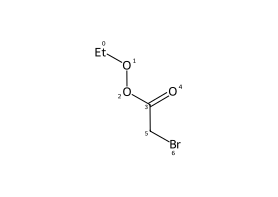 CCOOC(=O)CBr